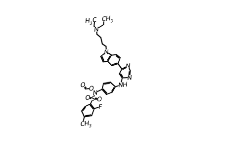 CCN(CC)CCCCn1ccc2cc(-c3cc(Nc4ccc(N(OC=O)S(=O)(=O)c5ccc(C)cc5F)cc4)ncn3)ccc21